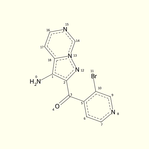 Nc1c(C(=O)c2ccncc2Br)nn2cnccc12